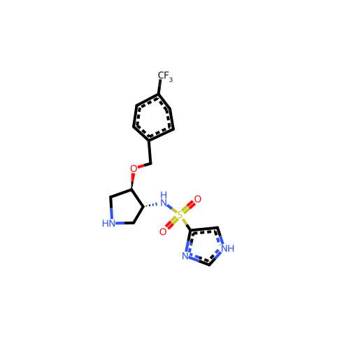 O=S(=O)(N[C@@H]1CNC[C@H]1OCc1ccc(C(F)(F)F)cc1)c1c[nH]cn1